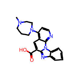 CN1CCCN(c2ccnc3c2cc(C(=O)O)c2nc4ccccc4n23)CC1